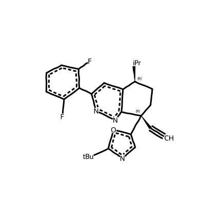 C#C[C@]1(c2cnc(C(C)(C)C)o2)CC[C@H](C(C)C)c2cc(-c3c(F)cccc3F)nnc21